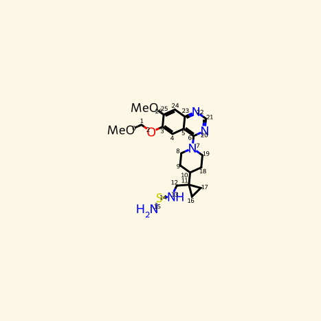 COCOc1cc2c(N3CCC(C4(CNSN)CC4)CC3)ncnc2cc1OC